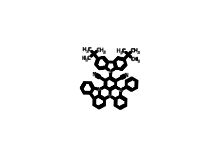 CC(C)(C)c1ccc2c(c1)c1cc(C(C)(C)C)ccc1n2-c1c(C#N)c2c3c(c1C#N)-n1c4ccccc4c4cccc(c41)B3c1ccccc1N2c1ccccc1